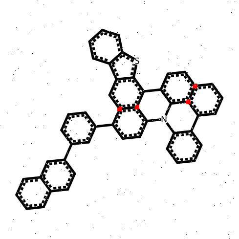 c1ccc(-c2ccccc2N(c2ccc(-c3cccc(-c4ccc5ccccc5c4)c3)cc2)c2ccccc2-c2cccc3c2sc2ccccc23)cc1